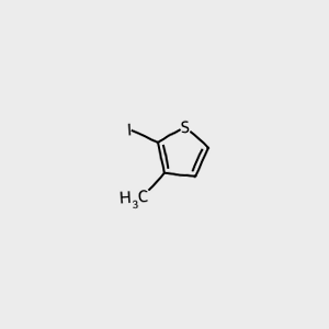 Cc1ccsc1I